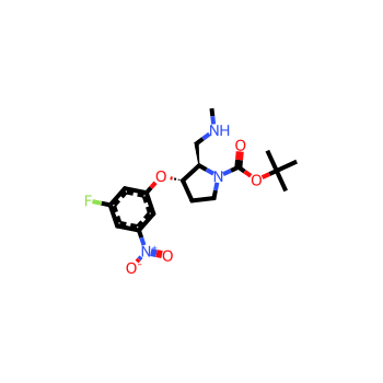 CNC[C@@H]1[C@@H](Oc2cc(F)cc([N+](=O)[O-])c2)CCN1C(=O)OC(C)(C)C